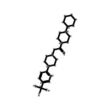 O=C(CN1CCN(c2ccc(C(F)(F)F)cn2)CC1)N1CCN(C2CCCCC2)CC1